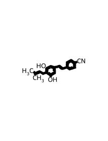 CC(C)=CCc1c(O)cc(/C=C/c2ccc(C#N)cc2)cc1O